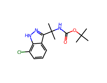 CC(C)(C)OC(=O)NC(C)(C)c1n[nH]c2c(Cl)cccc12